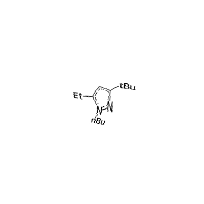 CCCCn1nc(C(C)(C)C)cc1CC